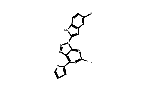 Nc1nc(-c2ccco2)c2nnn(-c3cc4cc(F)ccc4[nH]3)c2n1